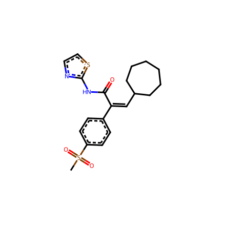 CS(=O)(=O)c1ccc(C(=CC2CCCCCC2)C(=O)Nc2nccs2)cc1